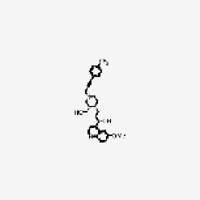 COc1ccc2nccc([C@H](O)CC[C@@H]3CCN(CC#Cc4ccc(C(F)(F)F)cc4)C[C@@H]3CO)c2c1